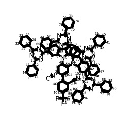 [C-]#[N+]c1cc(-n2c3cc(-c4nc(-c5ccccc5)nc(-c5ccccc5)n4)ccc3c3ccc(-c4nc(-c5ccccc5)nc(-c5ccccc5)n4)cc32)c(-n2c3cc(-c4nc(-c5ccccc5)nc(-c5ccccc5)n4)ccc3c3ccc(-c4nc(-c5ccccc5)nc(-c5ccccc5)n4)cc32)cc1-c1ccc(C(F)(F)F)cc1C#N